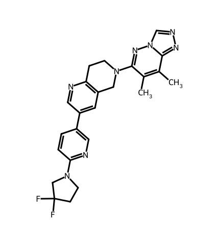 Cc1c(N2CCc3ncc(-c4ccc(N5CCC(F)(F)C5)nc4)cc3C2)nn2cnnc2c1C